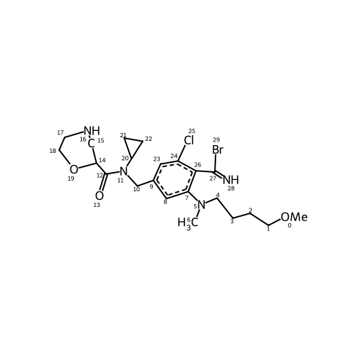 COCCCCN(C)c1cc(CN(C(=O)C2CNCCO2)C2CC2)cc(Cl)c1C(=N)Br